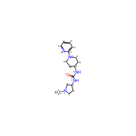 CN1CCC(NC(=O)NC2CCN(c3ccccn3)CC2)C1